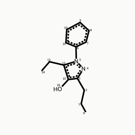 CCCc1nn(-c2ccccc2)c(CC)c1O